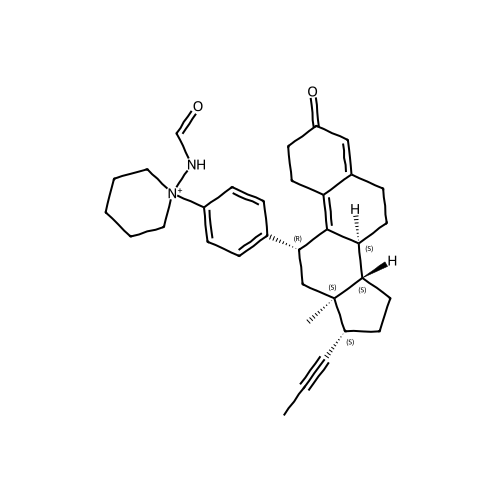 CC#C[C@H]1CC[C@H]2[C@@H]3CCC4=CC(=O)CCC4=C3[C@@H](c3ccc([N+]4(NC=O)CCCCC4)cc3)C[C@]12C